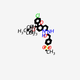 CCS(=O)(=O)c1ccc(CC(=O)NC2CCC3=C(C=CC(CO[Si](C)(C)C(C)(C)C)(c4ccc(Cl)cc4)C3=O)N2)cc1